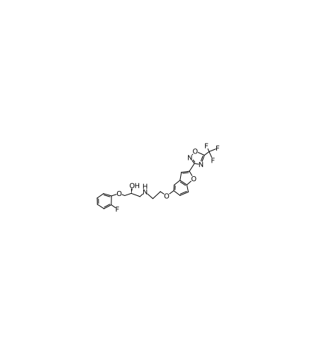 O[C@@H](CNCCOc1ccc2oc(-c3noc(C(F)(F)F)n3)cc2c1)COc1ccccc1F